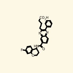 O=C(O)CCCc1nc2cc(C(=O)NC3CCOc4cc(F)ccc43)ccc2nc1-c1ccccc1